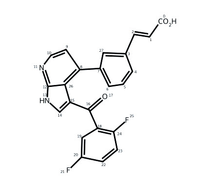 O=C(O)C=Cc1cccc(-c2ccnc3[nH]cc(C(=O)c4cc(F)ccc4F)c23)c1